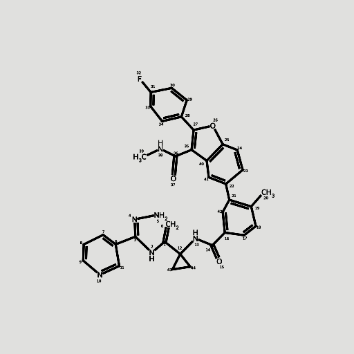 C=C(N/C(=N\N)c1cccnc1)C1(NC(=O)c2ccc(C)c(-c3ccc4oc(-c5ccc(F)cc5)c(C(=O)NC)c4c3)c2)CC1